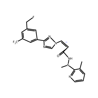 Cc1cccnc1N(C)NC(=O)/C=C\n1cnc(-c2cc(CF)cc(C(F)(F)F)c2)n1